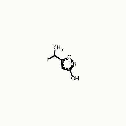 CC(I)c1cc(O)no1